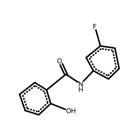 O=C(Nc1cccc(F)c1)c1ccccc1O